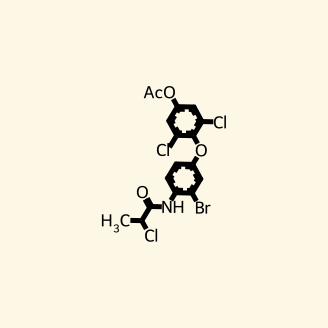 CC(=O)Oc1cc(Cl)c(Oc2ccc(NC(=O)C(C)Cl)c(Br)c2)c(Cl)c1